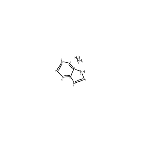 N.S.c1ncc2[nH]cnc2n1